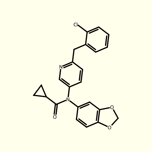 O=C(C1CC1)N(c1ccc(Cc2ccccc2Cl)nc1)c1ccc2c(c1)OCO2